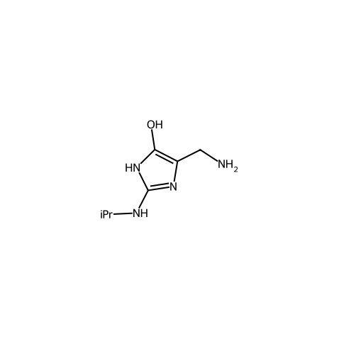 CC(C)Nc1nc(CN)c(O)[nH]1